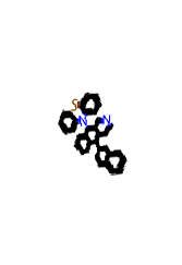 c1ccc2c(c1)Sc1ccccc1N2c1c2ccccc2c(-c2ccc3ccccc3c2)c2ccncc12